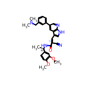 COc1ccc([C@@H](C)NC(=O)/C(C#N)=C/c2c[nH]c3ncc(-c4cccc(CN(C)C)c4)cc23)cc1OC